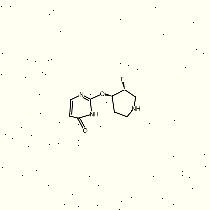 O=c1ccnc(O[C@@H]2CCNC[C@@H]2F)[nH]1